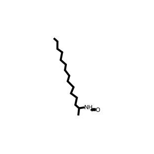 CCCCCCCCCCCCCC(C)N[C]=O